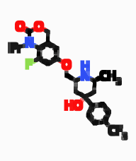 CC(C)N1C(=O)OCc2cc(OC[C@@H]3C[C@](O)(c4ccc(C(F)(F)F)cc4)C[C@H](C)N3)cc(F)c21